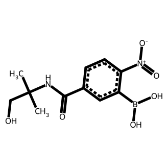 CC(C)(CO)NC(=O)c1ccc([N+](=O)[O-])c(B(O)O)c1